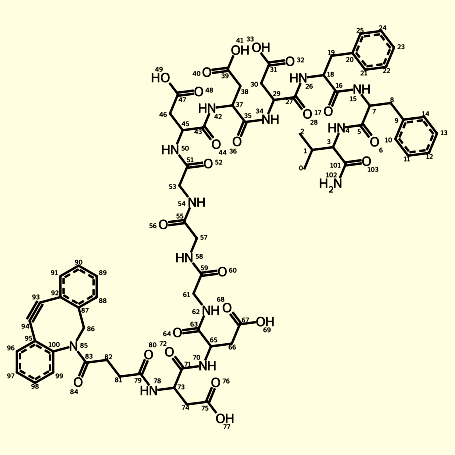 CC(C)C(NC(=O)C(Cc1ccccc1)NC(=O)C(Cc1ccccc1)NC(=O)C(CC(=O)O)NC(=O)C(CC(=O)O)NC(=O)C(CC(=O)O)NC(=O)CNC(=O)CNC(=O)CNC(=O)C(CC(=O)O)NC(=O)C(CC(=O)O)NC(=O)CCC(=O)N1Cc2ccccc2C#Cc2ccccc21)C(N)=O